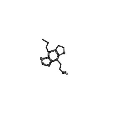 CCCc1c2c(c(CCN)c3ccoc13)OCC2